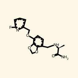 C[C@H](NCc1ccc(OCc2cccc(F)n2)c2c1OCO2)C(N)=O